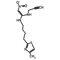 C#CCNC(=C[N+](=O)[O-])NCCSCc1nc(C)cs1